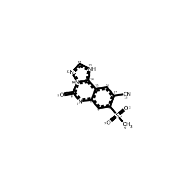 CS(=O)(=O)c1cc2nc(=O)n3nc[nH]c3c2cc1C#N